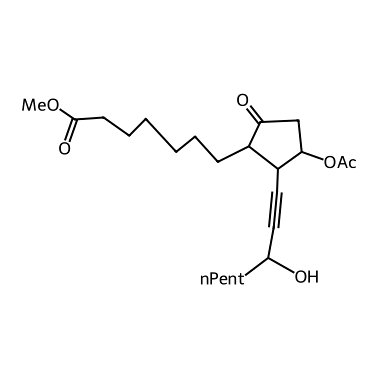 CCCCCC(O)C#CC1C(OC(C)=O)CC(=O)C1CCCCCCC(=O)OC